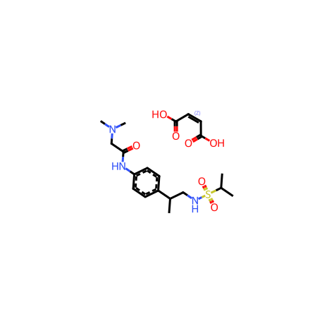 CC(CNS(=O)(=O)C(C)C)c1ccc(NC(=O)CN(C)C)cc1.O=C(O)/C=C\C(=O)O